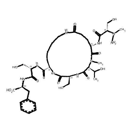 CC(O)[C@H]1C(=O)N[C@@H](CO)C(=O)N[C@H](C(=O)N[C@@H](CO)C(=O)N[C@@H](Cc2ccccc2)C(=O)O)CCCCNC(=O)CC[C@H](NC(=O)[C@H](CO)N(C)N)C(=O)N1C